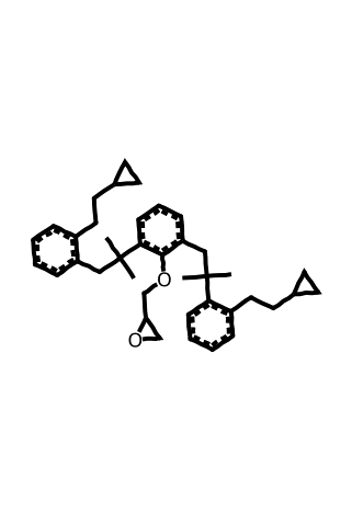 CC(C)(Cc1cccc(C(C)(C)Cc2ccccc2CCC2CC2)c1OCC1CO1)c1ccccc1CCC1CC1